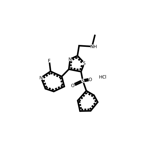 CNCc1nc(-c2cccnc2F)c(S(=O)(=O)c2ccccc2)s1.Cl